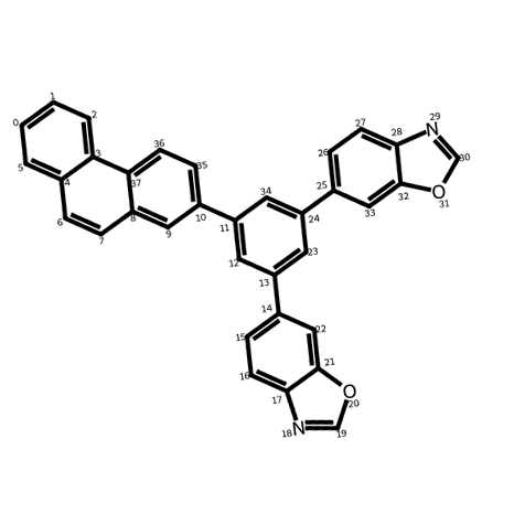 c1ccc2c(c1)ccc1cc(-c3cc(-c4ccc5ncoc5c4)cc(-c4ccc5ncoc5c4)c3)ccc12